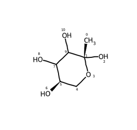 C[C@@]1(O)OC[C@@H](O)C(O)C1O